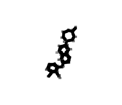 Cc1nccc(Sc2ccc3nc(N4CCCC(C)CC4)cnc3n2)c1Cl